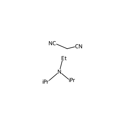 CCN(C(C)C)C(C)C.N#CCC#N